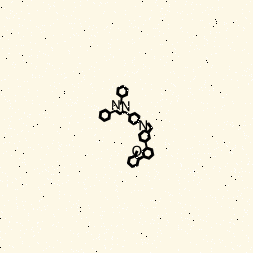 c1ccc(-c2cc(-c3ccc(-n4ccc5cc(-c6cccc7c6oc6ccccc67)ccc54)cc3)nc(-c3ccccc3)n2)cc1